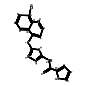 O=C(Nc1nnc(Sc2ccnc3c(Cl)cccc23)s1)c1cccs1